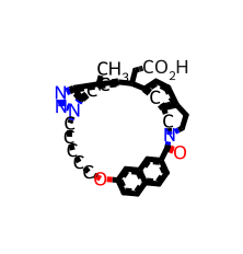 Cc1c2ccc3c1nnn3CCCCCOc1ccc3ccc(cc3c1)C(=O)N1CCc3ccc(cc3C1)C2CC(=O)O